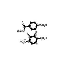 CC(C)OC(=O)c1ccc(C(=O)O)cc1.CCc1c(C(=O)O)ccc(C(=O)O)c1C